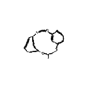 CC1COc2cccc(c2)N=C=Nc2cccc(c2)O1